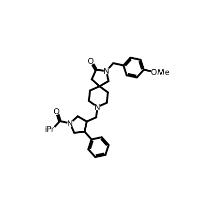 COc1ccc(CN2CC3(CCN(CC4CN(C(=O)C(C)C)CC4c4ccccc4)CC3)CC2=O)cc1